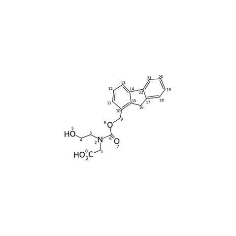 O=C(O)CN(CCO)C(=O)OCc1cccc2c1Cc1ccccc1-2